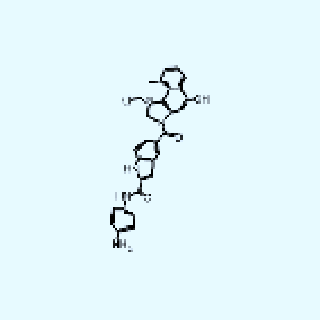 Cc1cccc2c(O)cc3c(c12)[C@H](CCl)CN3C(=O)c1ccc2[nH]c(C(=O)Nc3ccc(N)cc3)cc2c1